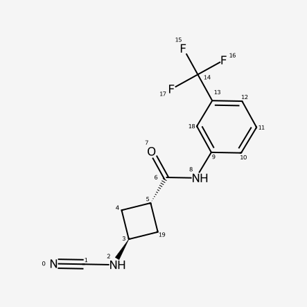 N#CN[C@H]1C[C@H](C(=O)Nc2cccc(C(F)(F)F)c2)C1